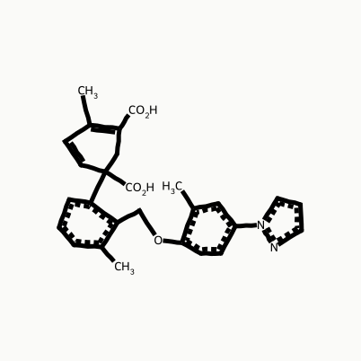 CC1=C(C(=O)O)CC(C(=O)O)(c2cccc(C)c2COc2ccc(-n3cccn3)cc2C)C=C1